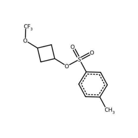 Cc1ccc(S(=O)(=O)OC2CC(OC(F)(F)F)C2)cc1